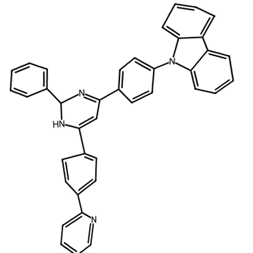 C1=C(c2ccc(-c3ccccn3)cc2)NC(c2ccccc2)N=C1c1ccc(-n2c3ccccc3c3ccccc32)cc1